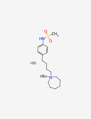 Br.CCCC[N+]1(CCCCc2ccc(NS(C)(=O)=O)cc2)CCCCCC1